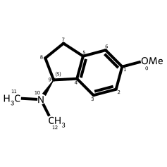 COc1ccc2c(c1)CC[C@@H]2N(C)C